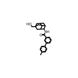 Cc1ccc(-c2cccc(C(=O)NC3C4CC5CC3CC(CO)(C5)C4)c2)cc1